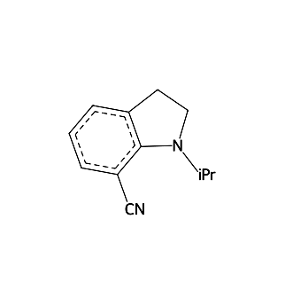 CC(C)N1CCc2cccc(C#N)c21